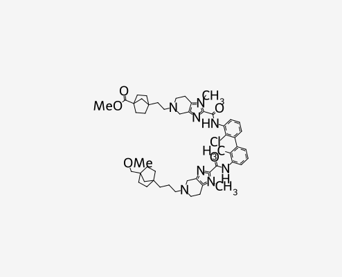 COCC12CCC(CCCN3CCc4c(nc(C(=O)Nc5cccc(-c6cccc(NC(=O)c7nc8c(n7C)CCN(CCC79CCC(C(=O)OC)(CC7)C9)C8)c6Cl)c5C)n4C)C3)(CC1)C2